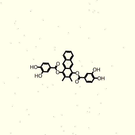 Cc1c(C)c(OC(=O)c2ccc(O)c(O)c2)c2cc3ccccc3cc2c1OC(=O)c1ccc(O)c(O)c1